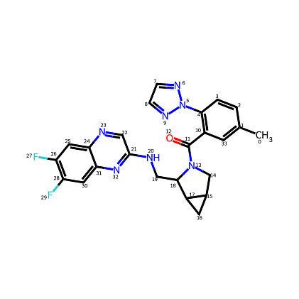 Cc1ccc(-n2nccn2)c(C(=O)N2CC3CC3C2CNc2cnc3cc(F)c(F)cc3n2)c1